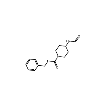 O=CNC1CCN(C(=O)OCc2ccccc2)CC1